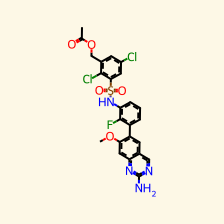 COc1cc2nc(N)ncc2cc1-c1cccc(NS(=O)(=O)c2cc(Cl)cc(COC(C)=O)c2Cl)c1F